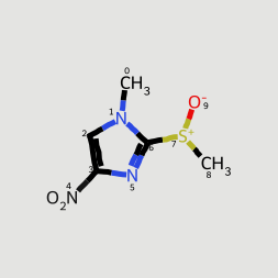 Cn1cc([N+](=O)[O-])nc1[S+](C)[O-]